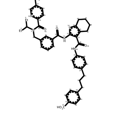 CCC(CC)N(Cc1cccc(C(=O)Nc2sc3c(c2C(=O)Nc2ccc(CCCc4ccc(C(=O)O)cc4)cc2)CCCC3)c1)C(=O)c1ccc(C(=O)O)cn1